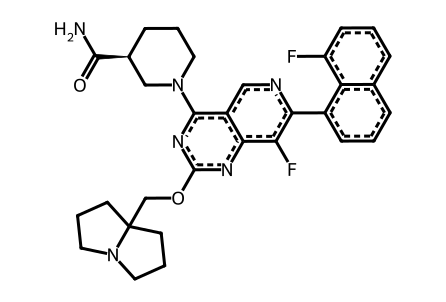 NC(=O)[C@H]1CCCN(c2nc(OCC34CCCN3CCC4)nc3c(F)c(-c4cccc5cccc(F)c45)ncc23)C1